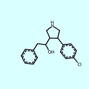 OC(Cc1ccccc1)C1CNCC1c1ccc(Cl)cc1